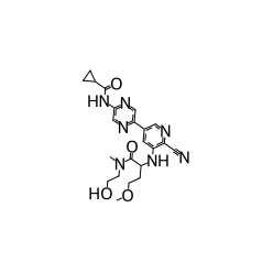 COCCC(Nc1cc(-c2cnc(NC(=O)C3CC3)cn2)cnc1C#N)C(=O)N(C)CCO